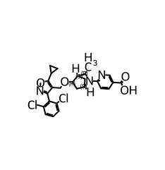 C[C@@H]1[C@@H]2C[C@@H](C[C@H]2OCc2c(-c3c(Cl)cccc3Cl)noc2C2CC2)N1c1ccc(C(=O)O)cn1